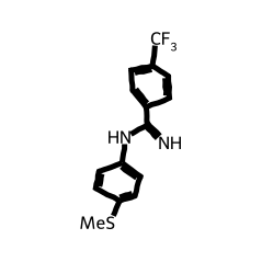 CSc1ccc(NC(=N)c2ccc(C(F)(F)F)cc2)cc1